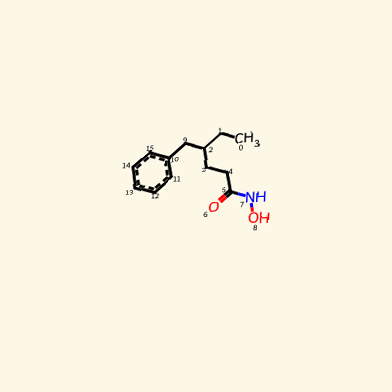 CCC(CCC(=O)NO)Cc1ccccc1